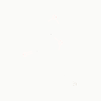 O=C1CC2(COC2)Oc2cc(Br)ccc21